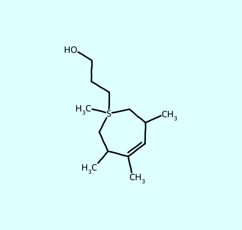 CC1=CC(C)CS(C)(CCCO)CC1C